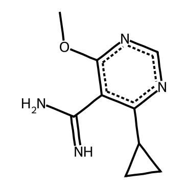 COc1ncnc(C2CC2)c1C(=N)N